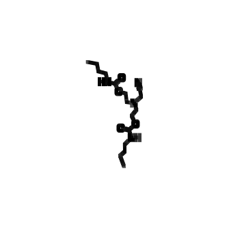 CCCCNC(=O)OCCN(CC#N)CCOC(=O)NCCCC